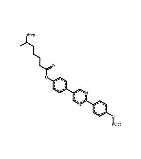 CCCCCCCCOc1ccc(-c2ncc(-c3ccc(OC(=O)CCCCC(C)CCCCCCC)cc3)cn2)cc1